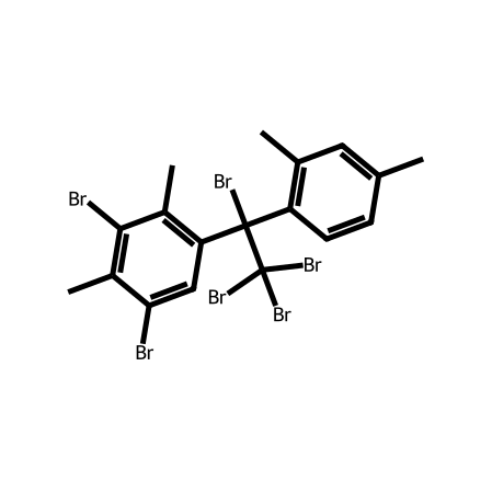 Cc1ccc(C(Br)(c2cc(Br)c(C)c(Br)c2C)C(Br)(Br)Br)c(C)c1